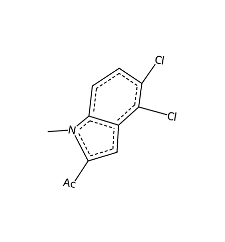 CC(=O)c1cc2c(Cl)c(Cl)ccc2n1C